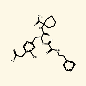 NC(=O)C1(NC(=O)[C@H](Cc2ccc(CC(=O)O)c(O)c2)NC(=O)C(=O)NCCc2ccccc2)CCCCC1